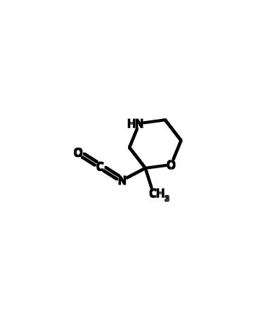 CC1(N=C=O)CNCCO1